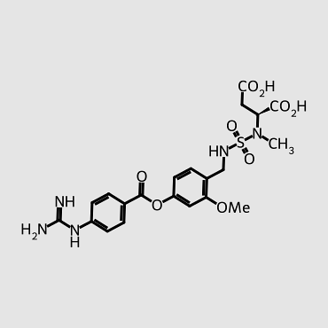 COc1cc(OC(=O)c2ccc(NC(=N)N)cc2)ccc1CNS(=O)(=O)N(C)[C@@H](CC(=O)O)C(=O)O